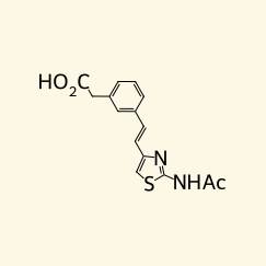 CC(=O)Nc1nc(C=Cc2cccc(CC(=O)O)c2)cs1